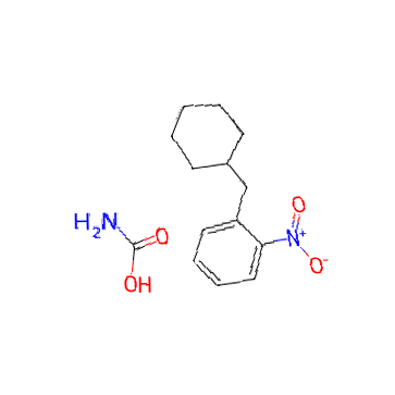 NC(=O)O.O=[N+]([O-])c1ccccc1CC1CCCCC1